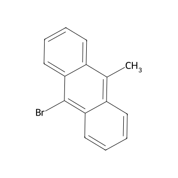 Cc1c2ccccc2c(Br)c2ccccc12